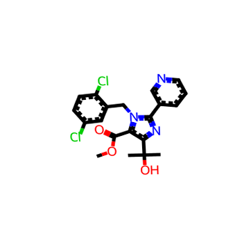 COC(=O)c1c(C(C)(C)O)nc(-c2cccnc2)n1Cc1cc(Cl)ccc1Cl